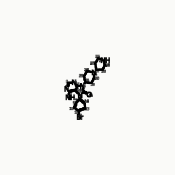 Nc1ncnc2c1n(-c1ccc(Br)cc1)c(=O)n2C1CCN(C2CCNCC2)CC1